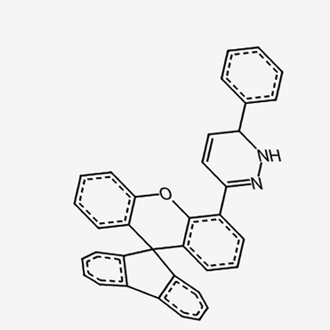 C1=CC(c2ccccc2)NN=C1c1cccc2c1Oc1ccccc1C21c2ccccc2-c2ccccc21